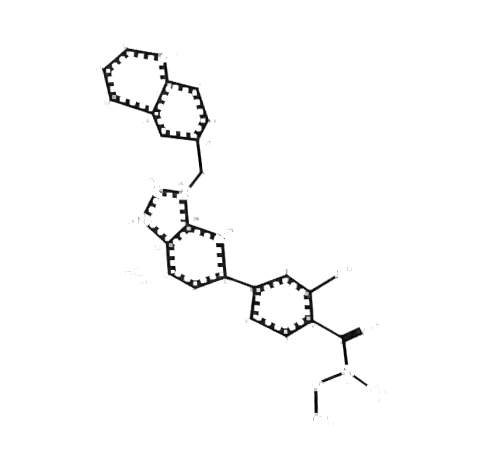 CON(C)C(=O)c1ccc(-c2ccc3nnn(Cc4ccc5ncccc5c4)c3n2)cc1F.Cl